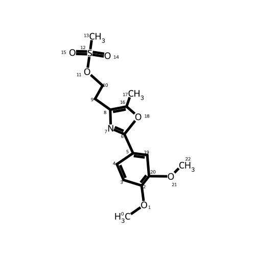 COc1ccc(-c2nc(CCOS(C)(=O)=O)c(C)o2)cc1OC